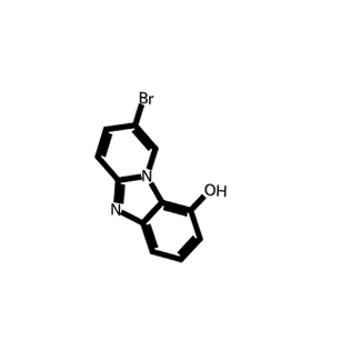 Oc1cccc2nc3ccc(Br)cn3c12